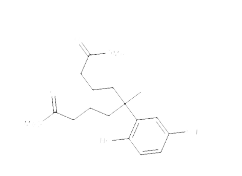 COC(=O)CCCC(C)(CCCC(=O)OC)c1cc(O)ccc1O